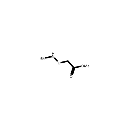 CCC(C)NOCC(=O)OC